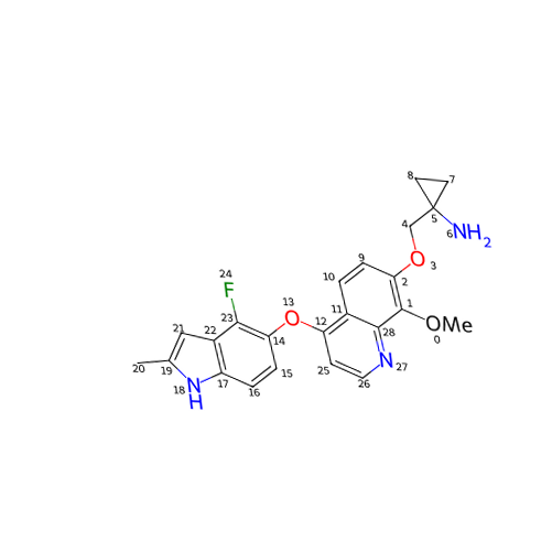 COc1c(OCC2(N)CC2)ccc2c(Oc3ccc4[nH]c(C)cc4c3F)ccnc12